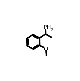 COc1ccccc1C(C)P